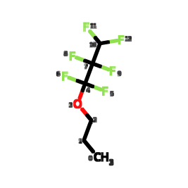 CC[CH]OC(F)(F)C(F)(F)C(F)F